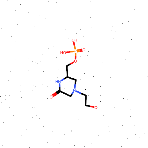 [O]CCN1CC(=O)NC(COP(=O)(O)O)C1